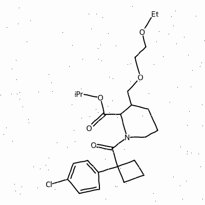 CCOCCOCC1CCCN(C(=O)C2(c3ccc(Cl)cc3)CCC2)C1C(=O)OC(C)C